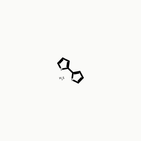 S.c1csc(-c2cccs2)c1